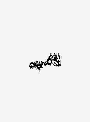 COC1(c2cc(F)cc(OCc3ccc4c(c3)C=CC3NNC(c5nccs5)N43)c2)CCOCC1